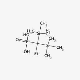 CCC([Si](C)(C)C)([Si](C)(C)C)P(=O)(O)O